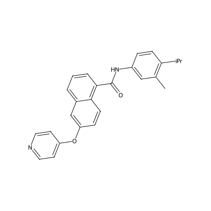 Cc1cc(NC(=O)c2cccc3cc(Oc4ccncc4)ccc23)ccc1C(C)C